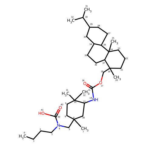 CCCCN(CC1(C)CCC(C)(C)C(NC(=O)OCC2(C)CCCC3(C)C4CCC(C(C)C)CC4CCC23)C1)C(=O)O